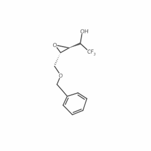 OC([C@@H]1O[C@H]1COCc1ccccc1)C(F)(F)F